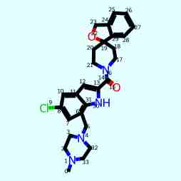 CN1CCN(Cc2cc(Cl)cc3cc(C(=O)N4CCC5(CC4)OCc4ccccc45)[nH]c23)CC1